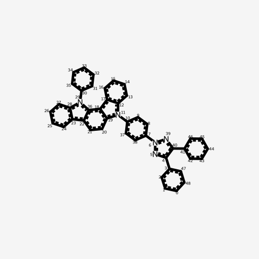 c1ccc(-c2nn(-c3ccc(-n4c5ccccc5c5c4ccc4c6ccccc6n(-c6ccccc6)c45)cc3)nc2-c2ccccc2)cc1